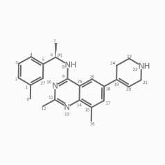 Cc1cccc([C@@H](C)Nc2nc(C)nc3c(C)cc(C4=CCNCC4)cc23)c1